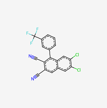 N#Cc1cc2cc(Cl)c(Cl)cc2c(-c2cccc(C(F)(F)F)c2)c1C#N